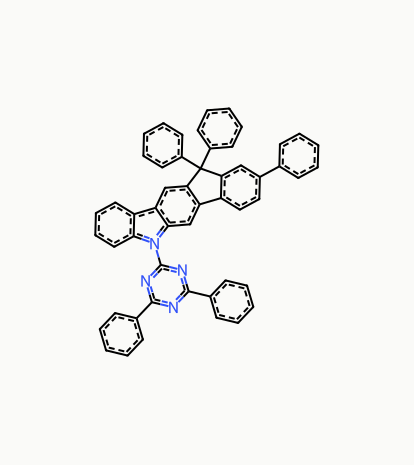 c1ccc(-c2ccc3c(c2)C(c2ccccc2)(c2ccccc2)c2cc4c5ccccc5n(-c5nc(-c6ccccc6)nc(-c6ccccc6)n5)c4cc2-3)cc1